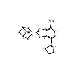 CC(=O)Nc1ccc(C2=NCCS2)c2oc(N3CC4CC(C3)N4)nc12